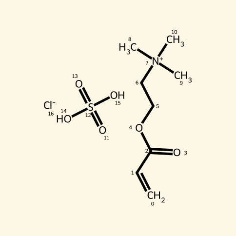 C=CC(=O)OCC[N+](C)(C)C.O=S(=O)(O)O.[Cl-]